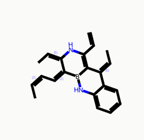 C=CC1=C2B(Nc3ccccc3/C2=C/C)C(=C/C=C\C)/C(=C\C)N1